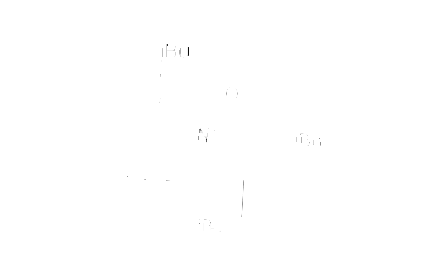 CCC(C)C(C)[N+]([O-])(C(C)C(C)CC)C(C)C(C)CC